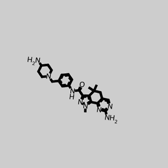 Cn1nc(C(=O)Nc2cccc(CN3CCC(N)CC3)c2)c2c1-c1nc(N)ncc1CC2(C)C